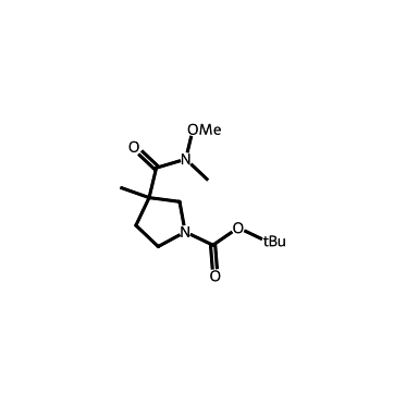 CON(C)C(=O)C1(C)CCN(C(=O)OC(C)(C)C)C1